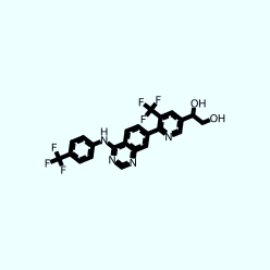 OCC(O)c1cnc(-c2ccc3c(Nc4ccc(C(F)(F)F)cc4)ncnc3c2)c(C(F)(F)F)c1